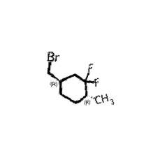 C[C@@H]1CC[C@@H](CBr)CC1(F)F